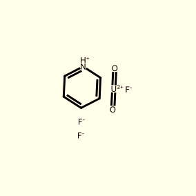 [F-].[F-].[F-].[O]=[U+2]=[O].c1cc[nH+]cc1